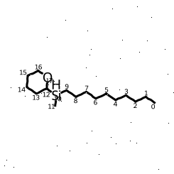 CCCCCCCCCC[SiH](C)C1CCCCO1